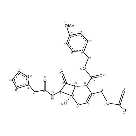 CCC(=O)OCC1=CS[C@H]2C(NC(=O)Cc3ccco3)C(=O)N2C1C(=O)OCc1ccc(OC)cc1